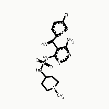 CN1CCC(NS(=O)(=O)Nc2ncnc(N)c2C(=N)c2ccc(Cl)cc2)CC1